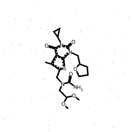 COC(CN(Cc1sc2c(c1C)c(=O)n(C1CC1)c(=O)n2CC1CCCO1)C(N)=O)OC